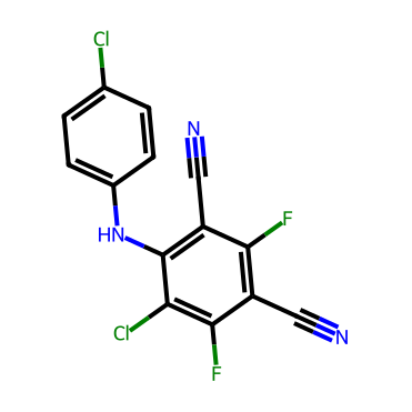 N#Cc1c(F)c(Cl)c(Nc2ccc(Cl)cc2)c(C#N)c1F